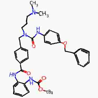 CN(C)CCCN(Cc1ccc(C(=O)Nc2ccccc2NC(=O)OC(C)(C)C)cc1)C(=O)Nc1ccc(OCc2ccccc2)cc1